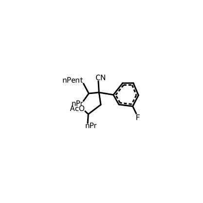 CCCCCC(CCC)C(C#N)(CC(CCC)OC(C)=O)c1cccc(F)c1